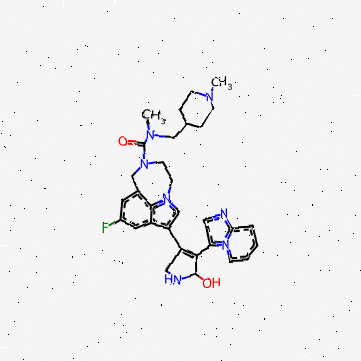 CN1CCC(CN(C)C(=O)N2CCn3cc(C4=C(c5cnc6ccccn56)C(O)NC4)c4cc(F)cc(c43)C2)CC1